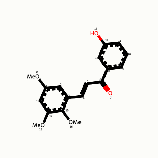 COc1cc(/C=C/C(=O)c2cccc(O)c2)c(OC)c(OC)c1